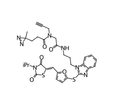 C#CCN(CC(=O)NCCCn1c(Sc2ccc(C=C3SC(=O)N(C(C)C)C3=O)o2)nc2ccccc21)C(=O)CCC1(C)N=N1